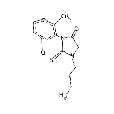 CCCCN1CC(=O)N(c2c(C)cccc2Cl)C1=S